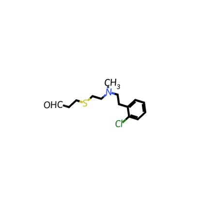 CN(CCSCCC=O)CCc1ccccc1Cl